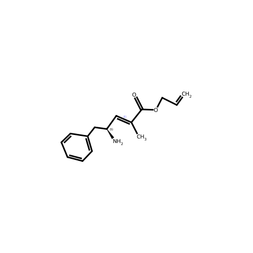 C=CCOC(=O)/C(C)=C/[C@@H](N)Cc1ccccc1